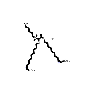 CCCCCCCC/C=C\CCCCCCCCOC(C)C(OCCCCCCCC/C=C\CCCCCCCC)[N+](C)(C)CCCCCO.[Br-]